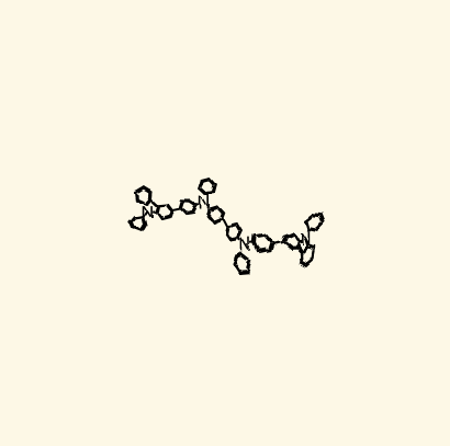 c1ccc(N(c2ccc(-c3ccc(N(c4ccccc4)c4ccc(-c5ccc6c(c5)c5ccccc5n6-c5ccccc5)cc4)cc3)cc2)c2ccc(-c3ccc4c(c3)c3ccccc3n4-c3ccccc3)cc2)cc1